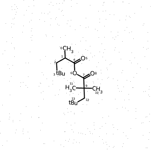 CC(CC(C)(C)C)C(=O)OC(=O)C(C)(C)CC(C)(C)C